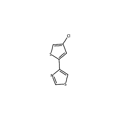 Clc1csc(-c2cscn2)c1